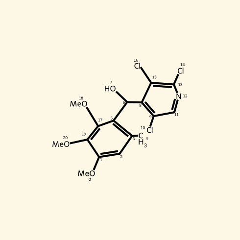 COc1cc(C)c(C(O)c2c(Cl)cnc(Cl)c2Cl)c(OC)c1OC